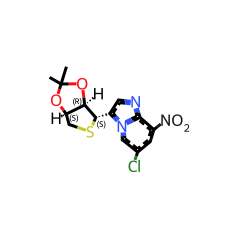 CC1(C)O[C@@H]2[C@@H](CS[C@H]2c2cnc3c([N+](=O)[O-])cc(Cl)cn23)O1